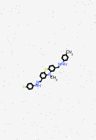 Cc1ccc(N/N=C/c2ccc3c(c2)N(C)c2cc(/C=N/Nc4ccc(F)cc4)ccc2S3)cc1